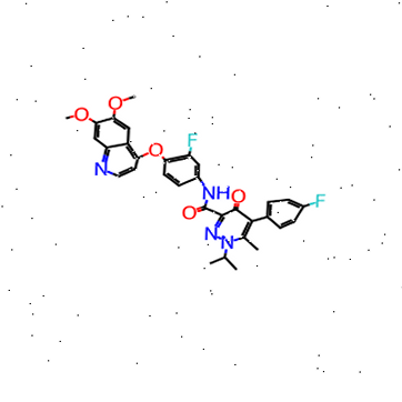 COc1cc2nccc(Oc3ccc(NC(=O)c4nn(C(C)C)c(C)c(-c5ccc(F)cc5)c4=O)cc3F)c2cc1OC